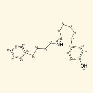 Oc1ccc(C2CCCCC2NCCCCc2ccccc2)cc1